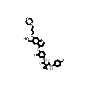 O=C(Nc1ccc(F)cc1)C1(C(=O)Nc2ccc(Oc3ccnc4cc(OCCCN5CCOCC5)c(CO)cc34)c(F)c2)CC1